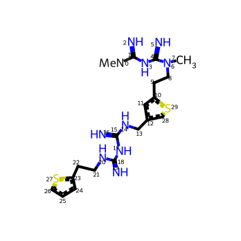 CNC(=N)NC(=N)N(C)CCc1cc(CNC(=N)NC(=N)NCCc2cccs2)cs1